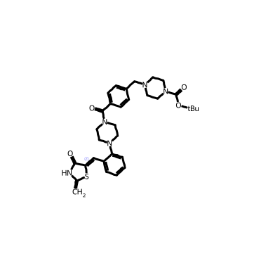 C=c1[nH]c(=O)/c(=C/c2ccccc2N2CCN(C(=O)c3ccc(CN4CCN(C(=O)OC(C)(C)C)CC4)cc3)CC2)s1